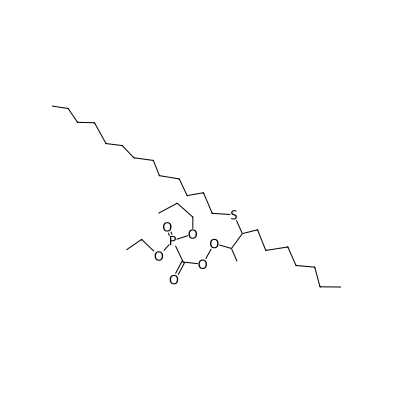 CCCCCCCCCCCCCSC(CCCCCCC)C(C)OOC(=O)P(=O)(OCC)OCCC